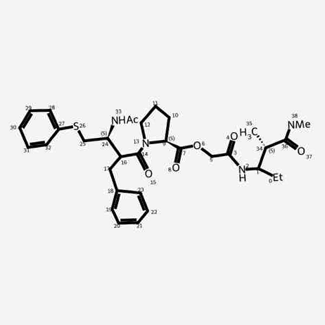 CCC(NC(=O)COC(=O)[C@@H]1CCCN1C(=O)C(Cc1ccccc1)[C@@H](CSc1ccccc1)NC(C)=O)[C@H](C)C(=O)NC